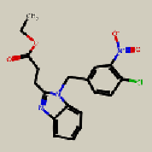 CCOC(=O)CCc1nc2ccccc2n1Cc1ccc(Cl)c([N+](=O)[O-])c1